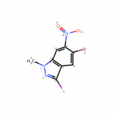 Cn1nc(I)c2cc(Br)c([N+](=O)[O-])cc21